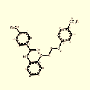 COc1ccc(C(=O)Nc2ccccc2OCCOc2ccc(C(=O)O)cc2)cc1